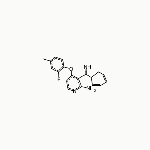 Cc1ccc(Oc2ccnc(N)c2C(=N)C2C=CC=CC2)c(F)c1